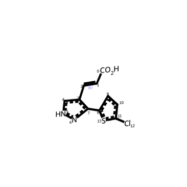 O=C(O)/C=C/c1c[nH]nc1-c1ccc(Cl)s1